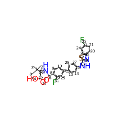 CC(C)(C)[C@H](NC(=O)c1ccc(-c2ccc(Nc3nc4ccc(F)cc4s3)cc2)cc1F)C(=O)O